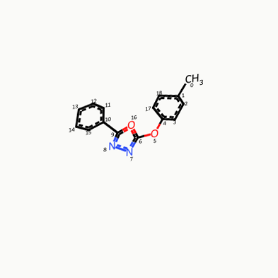 Cc1ccc(Oc2nnc(-c3ccccc3)o2)cc1